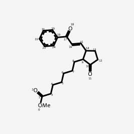 COC(=O)CCCCCCC1C(=O)CCC1/C=C/C(=O)c1ccccc1